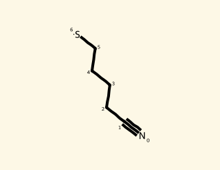 N#CCCCC[S]